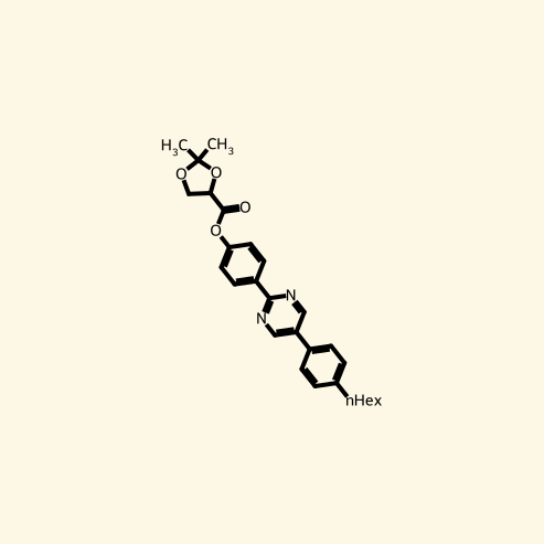 CCCCCCc1ccc(-c2cnc(-c3ccc(OC(=O)C4COC(C)(C)O4)cc3)nc2)cc1